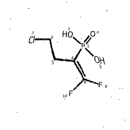 O=P(O)(O)C(CCCl)=C(F)F